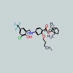 CCCCOc1cc(NCc2cc(C(F)(F)F)cc(Cl)c2O)ccc1C(=O)OC1CC2CCC1(C)C2(C)C